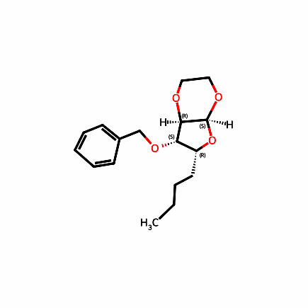 CCCC[C@H]1O[C@@H]2OCCO[C@@H]2[C@H]1OCc1ccccc1